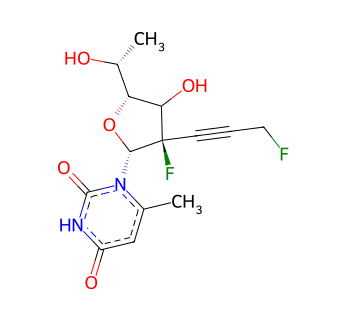 Cc1cc(=O)[nH]c(=O)n1[C@@H]1O[C@H]([C@@H](C)O)C(O)[C@]1(F)C#CCF